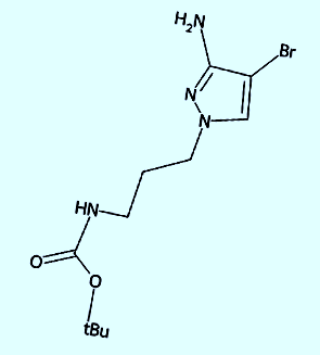 CC(C)(C)OC(=O)NCCCn1cc(Br)c(N)n1